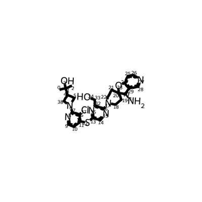 CC(C)(O)C1CN(c2nccc(Sc3cnc(N4CCC5(CC4)Oc4ccncc4[C@H]5N)c(CO)n3)c2Cl)C1